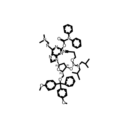 COc1ccc(C(OC[C@H]2O[C@@H](n3cnc4c(N=CN(C)C)nc(OC(=O)N(c5ccccc5)c5ccccc5)nc43)C[C@H]2OP(OCCC#N)N(CC(C)C)CC(C)C)(c2ccccc2)c2ccc(OC)cc2)cc1